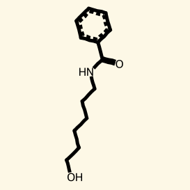 O=C(NCCCCCCO)c1ccccc1